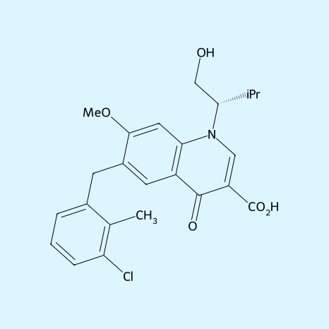 COc1cc2c(cc1Cc1cccc(Cl)c1C)c(=O)c(C(=O)O)cn2[C@H](CO)C(C)C